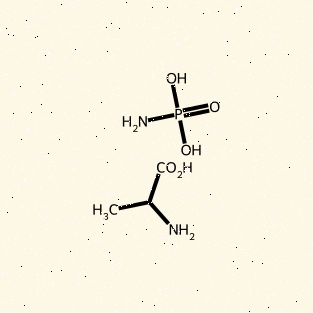 CC(N)C(=O)O.NP(=O)(O)O